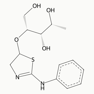 C[C@@H](O)[C@H](O)[C@@H](CO)OC1CN=C(Nc2ccccc2)S1